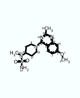 COc1ccc2c(N3CCC(N(C)S(N)(=O)=O)CC3)nc(C)nc2c1